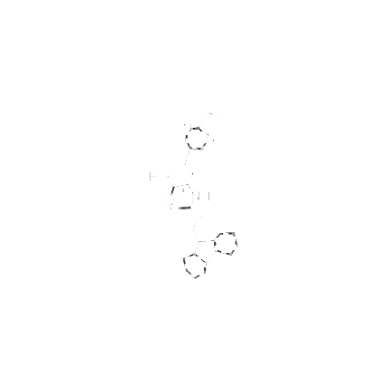 COc1ncc(CC[C@@H](NC(=O)OCC2c3ccccc3-c3ccccc32)C(=O)O)cn1